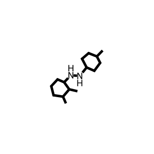 CC1CCC(NNC2CCCC(C)C2C)CC1